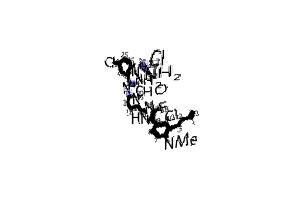 C=CCCc1c(NC)ccc(-c2[nH]c(C3CC/C(=N/C(=C\C=O)c4cc(Cl)ccc4N(N)/C=C(\N)Cl)N3C)nc2F)c1Cl